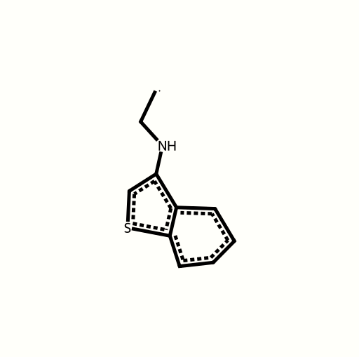 [CH2]CNc1csc2ccccc12